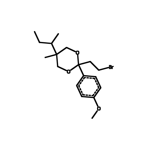 CCC(C)C1(C)COC(CCBr)(c2ccc(OC)cc2)OC1